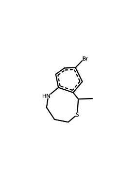 CC1SCCCNc2ccc(Br)cc21